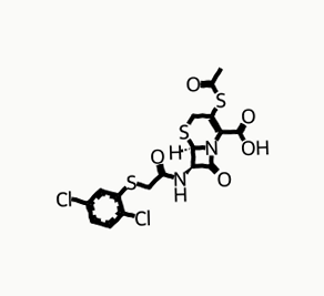 CC(=O)SC1=C(C(=O)O)N2C(=O)[C@@H](NC(=O)CSc3cc(Cl)ccc3Cl)[C@H]2SC1